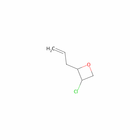 C=CCC1OCC1Cl